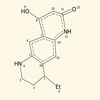 CCC1CCNc2cc3c(O)cc(=O)[nH]c3cc21